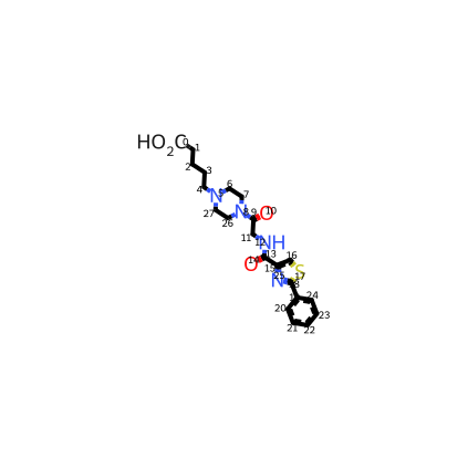 O=C(O)CCCCN1CCN(C(=O)CNC(=O)c2csc(-c3ccccc3)n2)CC1